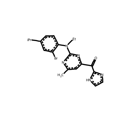 CCN(c1nc(C)cc(C(=O)c2ncc[nH]2)n1)c1ccc(C(C)C)cc1Br